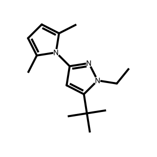 CCn1nc(-n2c(C)ccc2C)cc1C(C)(C)C